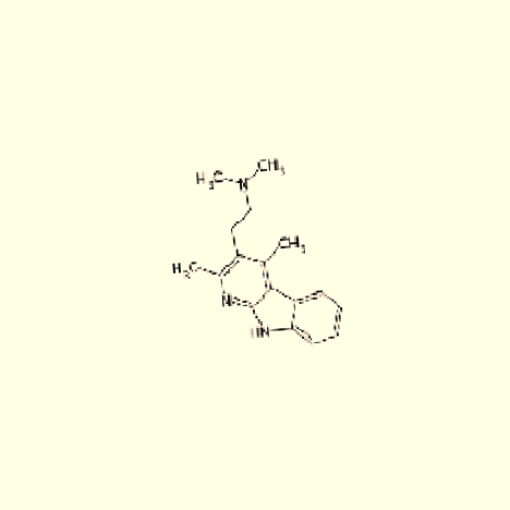 Cc1nc2[nH]c3ccccc3c2c(C)c1CCN(C)C